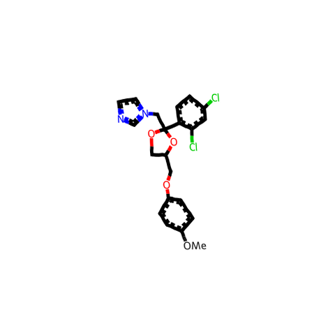 COc1ccc(OCC2COC(Cn3ccnc3)(c3ccc(Cl)cc3Cl)O2)cc1